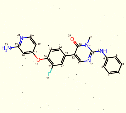 Cn1c(Nc2ccccc2)ncc(-c2ccc(Oc3ccnc(N)c3)c(F)c2)c1=O